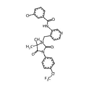 CC1(C)C(=O)N(c2ccc(OC(F)(F)F)cc2)C(=O)N1Cc1ccncc1NC(=O)c1cccc(Cl)c1